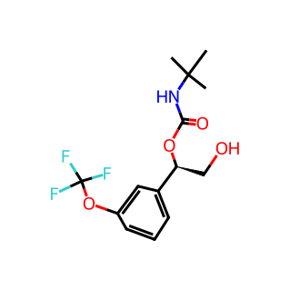 CC(C)(C)NC(=O)O[C@@H](CO)c1cccc(OC(F)(F)F)c1